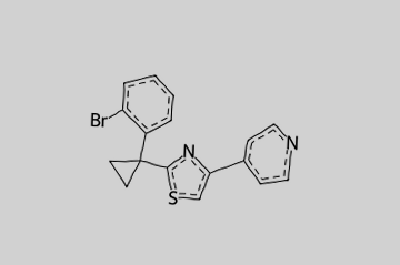 Brc1ccccc1C1(c2nc(-c3ccncc3)cs2)CC1